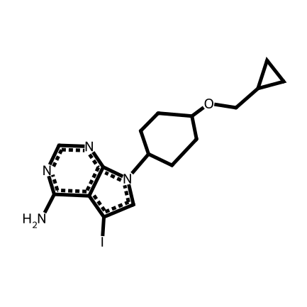 Nc1ncnc2c1c(I)cn2C1CCC(OCC2CC2)CC1